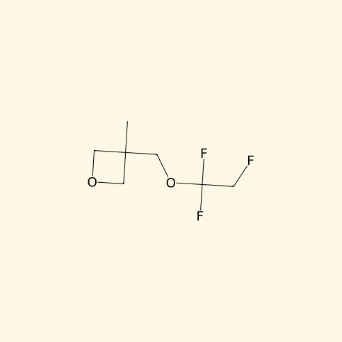 CC1(COC(F)(F)CF)COC1